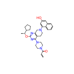 C=CC(=O)N1CCN(c2nc(O[C@@H](C)C3CCCC3)nc3c2CCN(c2cc(O)cc4ccccc24)C3)CC1